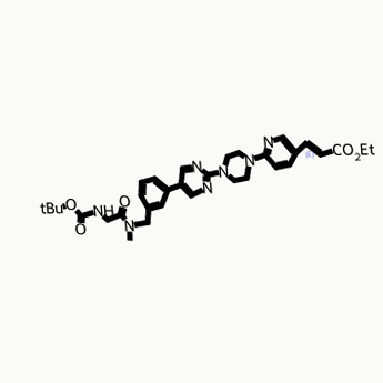 CCOC(=O)/C=C/c1ccc(N2CCN(c3ncc(-c4cccc(CN(C)C(=O)CNC(=O)OC(C)(C)C)c4)cn3)CC2)nc1